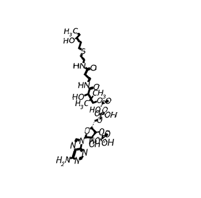 CC[C@H](O)CCSCCNC(=O)CCNC(=O)C(O)C(C)(C)COP(=O)(O)OP(=O)(O)OC[C@H]1O[C@@H](n2cnc3c(N)ncnc32)[C@H](O)[C@@H]1OP(=O)(O)O